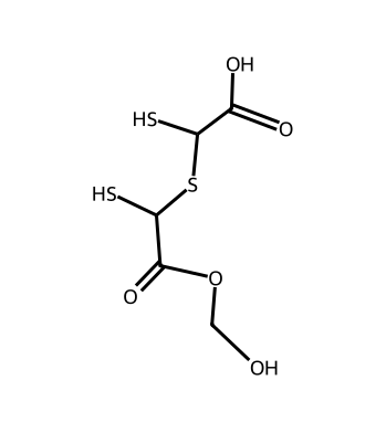 O=C(O)C(S)SC(S)C(=O)OCO